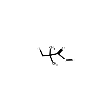 CC(C)(CCl)C(=O)OCl